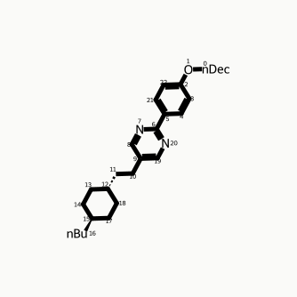 CCCCCCCCCCOc1ccc(-c2ncc(CC[C@H]3CC[C@H](CCCC)CC3)cn2)cc1